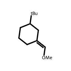 COC=C1CCCC(C(C)(C)C)C1